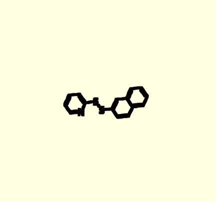 c1ccc(SSc2ccc3ccccc3c2)nc1